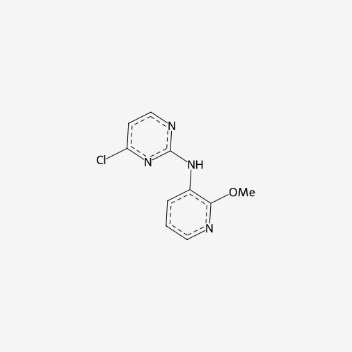 COc1ncccc1Nc1nccc(Cl)n1